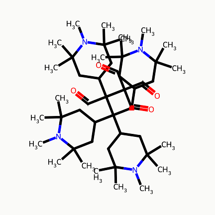 CN1C(C)(C)CC(CC(C2CC(C)(C)N(C)C(C)(C)C2)(C2CC(C)(C)N(C)C(C)(C)C2)C([C]=O)(C2CC(C)(C)N(C)C(C)(C)C2)C([C]=O)([C]=O)[C]=O)CC1(C)C